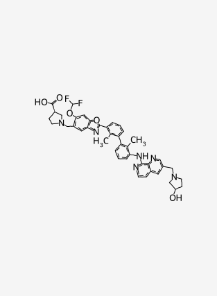 Cc1c(Nc2nccc3cc(CN4CCC(O)C4)cnc23)cccc1-c1cccc(-c2nc3cc(CN4CC[C@@H](C(=O)O)C4)c(OC(F)F)cc3o2)c1C